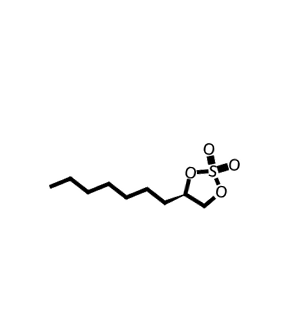 CCCCCCC[C@@H]1COS(=O)(=O)O1